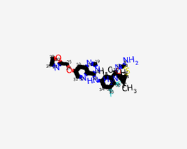 C[C@H]1[C@@H]2[C@@]1(C(N)=O)SC(N)=N[C@]2(C)c1cc(Nc2ncnc3cc(OCc4ncco4)cnc23)cc(F)c1F